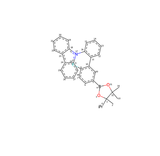 CC(C)C1(C)OB(c2ccc(F)c(-c3ccccc3-n3c4ccccc4c4ccccc43)c2)OC1(C)C